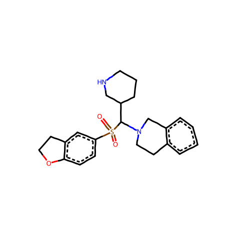 O=S(=O)(c1ccc2c(c1)CCO2)C(C1CCCNC1)N1CCc2ccccc2C1